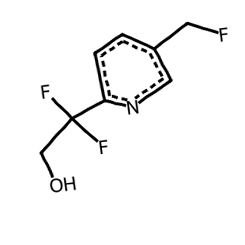 OCC(F)(F)c1ccc(CF)cn1